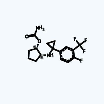 NC(=O)O[C@H]1CCC[C@H]1NC1(c2ccc(F)c(C(F)(F)F)c2)CC1